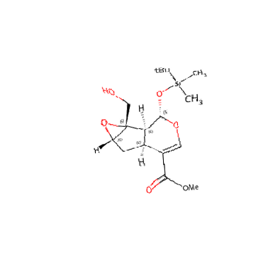 COC(=O)C1=CO[C@@H](O[Si](C)(C)C(C)(C)C)[C@H]2[C@@H]1C[C@@H]1O[C@]21CO